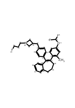 Cc1cc(OC(F)F)ccc1C1=C(c2ccc(CC3CN(CCCF)C3)cc2)c2ccccc2CCC1